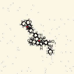 O=C(NS(=O)(=O)c1ccc(NCC2(F)CCOCC2)c([N+](=O)[O-])c1)c1ccc(N2CCC3(CC2)CC(N2CCCC[C@]24CCOc2ccccc24)C3)cc1N1c2cc3cc[nH]c3nc2O[C@@H]2COC[C@H]21